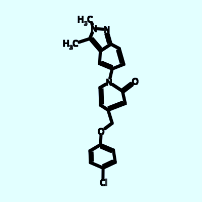 Cc1c2cc(-n3ccc(COc4ccc(Cl)cc4)cc3=O)ccc2nn1C